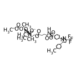 CCOC(=O)OC(C)ON=[N+]([O-])N(CCOC(=O)CCC(=O)NS(=O)(=O)c1ccc(-n2nc(C(F)(F)F)cc2-c2ccc(C)cc2)cc1)C(C)(C)C